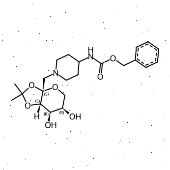 CC1(C)O[C@H]2[C@H](O)[C@H](O)CO[C@@]2(CN2CCC(NC(=O)OCc3ccccc3)CC2)O1